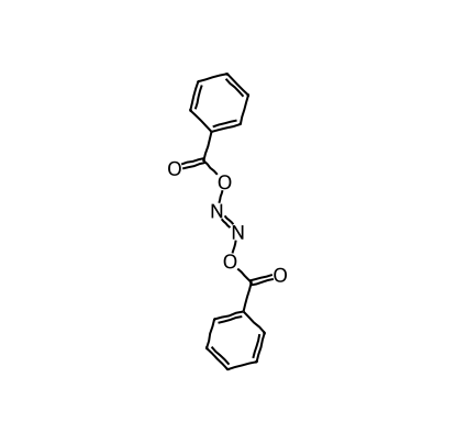 O=C(ON=NOC(=O)c1ccccc1)c1ccccc1